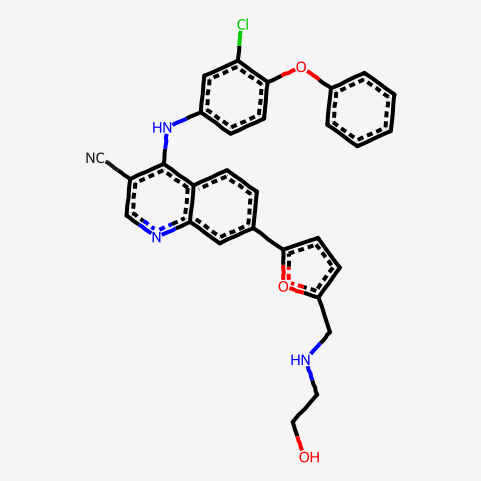 N#Cc1cnc2cc(-c3ccc(CNCCO)o3)ccc2c1Nc1ccc(Oc2ccccc2)c(Cl)c1